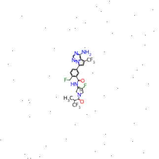 CC(C(=O)N1C[C@H](F)[C@H](NC(=O)c2cc(-c3cc(C(F)(F)F)c4c(N)ncnn34)ccc2CF)C1)C(F)(F)F